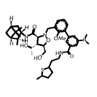 COc1c(CN2O[C@@H](CO)[C@H]([C@H](C)O)[C@H]2C(=O)N[C@H]2C[C@H]3C[C@@H]([C@@H]2C)C3(C)C)cccc1-c1cc(C(=O)NCCC2CCC(C)S2)cc(N(C)C)c1